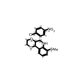 CSc1cccc2c1N[C@@H](c1cc([N+](=O)[O-])ccc1Cl)C1OCCOC21